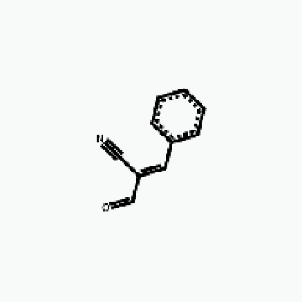 N#C/C([C]=O)=C\c1ccccc1